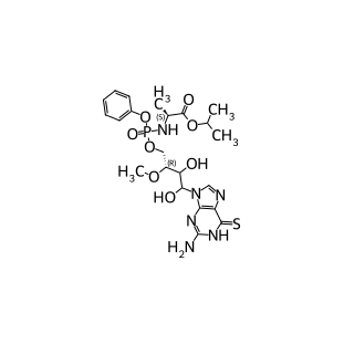 CO[C@H](COP(=O)(N[C@@H](C)C(=O)OC(C)C)Oc1ccccc1)C(O)C(O)n1cnc2c(=S)[nH]c(N)nc21